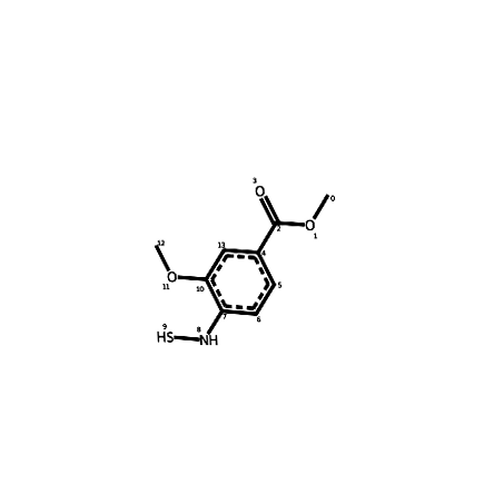 COC(=O)c1ccc(NS)c(OC)c1